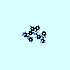 c1ccc(-c2ccccc2-c2nc(-c3cccc(-n4c(-c5cccnc5)nc5ccccc54)c3)nc(-c3cccc(-n4c(-c5cccnc5)nc5ccccc54)c3)n2)cc1